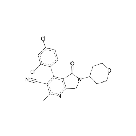 Cc1nc2c(c(-c3ccc(Cl)cc3Cl)c1C#N)C(=O)N(C1CCOCC1)C2